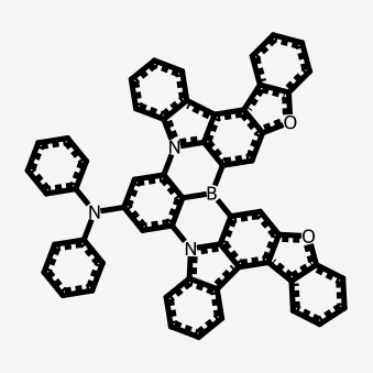 c1ccc(N(c2ccccc2)c2cc3c4c(c2)-n2c5ccccc5c5c6c(cc(c52)B4c2cc4oc5ccccc5c4c4c5ccccc5n-3c24)oc2ccccc26)cc1